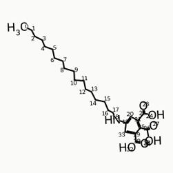 CCCCCCCCCCCCCCCCCCNc1cc(C(=O)O)c(C(=O)O)c(C(=O)O)c1